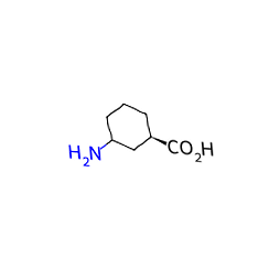 NC1CCC[C@@H](C(=O)O)C1